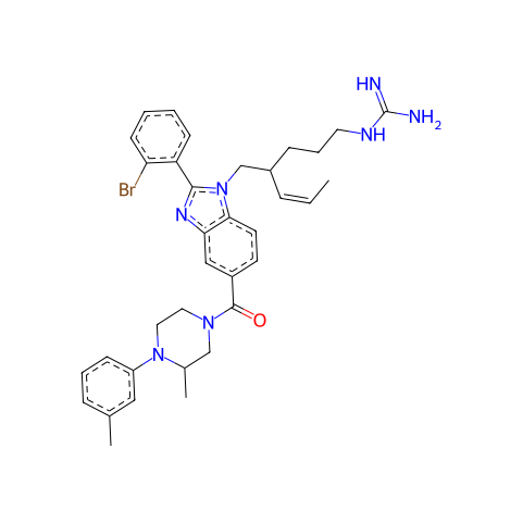 C/C=C\C(CCCNC(=N)N)Cn1c(-c2ccccc2Br)nc2cc(C(=O)N3CCN(c4cccc(C)c4)C(C)C3)ccc21